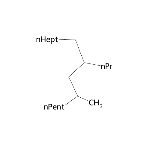 CCCCCCCCC(CCC)CC(C)CCCCC